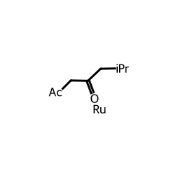 CC(=O)CC(=O)CC(C)C.[Ru]